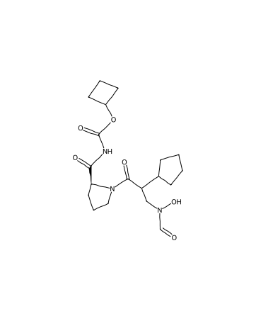 O=CN(O)CC(C(=O)N1CCC[C@H]1C(=O)NC(=O)OC1CCC1)C1CCCC1